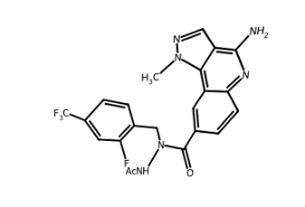 CC(=O)NN(Cc1ccc(C(F)(F)F)cc1F)C(=O)c1ccc2nc(N)c3cnn(C)c3c2c1